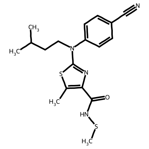 CSNC(=O)c1nc(N(CCC(C)C)c2ccc(C#N)cc2)sc1C